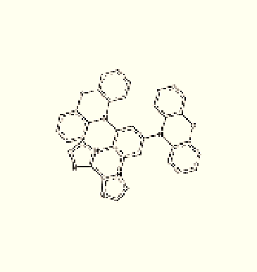 c1ccc2c(c1)Oc1ccccc1N2c1cc(N2c3ccccc3Sc3ccccc32)c2c(c1)n1ccnc1c1nccn12